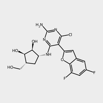 Nc1nc(Cl)c(-c2cc3cc(F)cc(F)c3o2)c(N[C@@H]2C[C@H](CO)[C@@H](O)[C@H]2O)n1